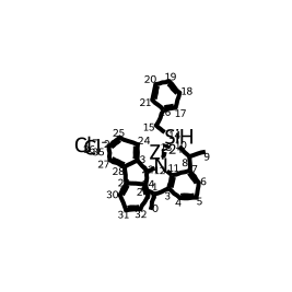 CC(C)c1cccc(C(C)C)c1[N](/[Zr+2]=[SiH]/Cc1ccccc1)C1c2ccccc2-c2ccccc21.[Cl-].[Cl-]